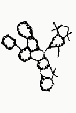 Cc1cc2c(cc1N(c1ccc3ccccc3c1)c1cc3c(cc1-c1ccc(-c4ccccc4)cc1)-c1ccccc1C3(C)C)C(C)(C)CCC2(C)C